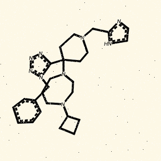 c1ccc(Cn2nnnc2C2(N3CCCN(C4CCC4)CC3)CCN(Cc3ncc[nH]3)CC2)cc1